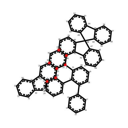 c1ccc(-c2ccccc2-c2c(-c3ccccc3)cccc2N(c2ccc3c(c2)sc2ccccc23)c2cccc3c2-c2ccccc2C32c3ccccc3-c3ccccc32)cc1